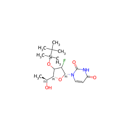 C[C@H](O)[C@H]1O[C@@H](n2ccc(=O)[nH]c2=O)C(F)C1O[Si](C)(C)C(C)(C)C